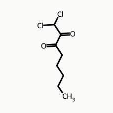 CCCCCC(=O)C(=O)C(Cl)Cl